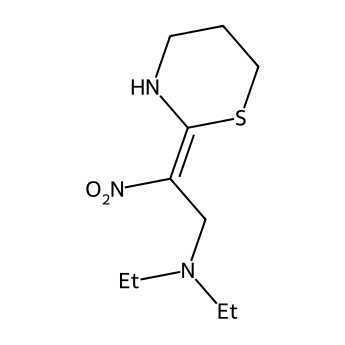 CCN(CC)CC(=C1NCCCS1)[N+](=O)[O-]